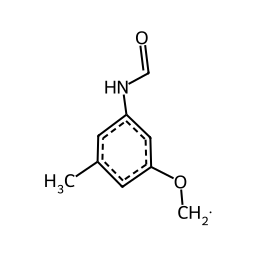 [CH2]Oc1cc(C)cc(NC=O)c1